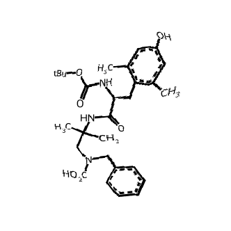 Cc1cc(O)cc(C)c1C[C@H](NC(=O)OC(C)(C)C)C(=O)NC(C)(C)CN(Cc1ccccc1)C(=O)O